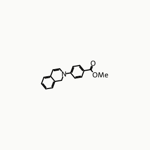 COC(=O)c1ccc(N2C=Cc3ccccc3C2)cc1